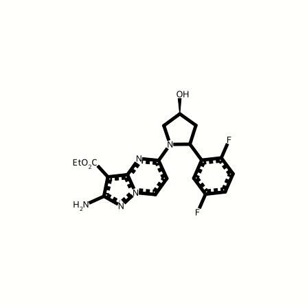 CCOC(=O)c1c(N)nn2ccc(N3C[C@@H](O)CC3c3cc(F)ccc3F)nc12